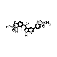 CCCS(=O)(=O)Nc1c(F)ccc(C(=O)c2c[nH]c3ncc(-c4ccc(S(C)(=N)=O)nc4)cc23)c1F